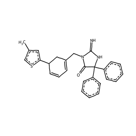 Cc1csc(C2C=CC=C(CN3C(=N)NC(c4ccccc4)(c4ccccc4)C3=O)C2)c1